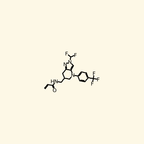 C=CC(=O)NCC1Cc2nn(C(F)F)cc2N(c2ccc(C(F)(F)F)cc2)C1